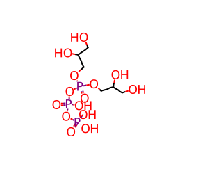 O=P(O)(O)OP(=O)(O)OP(=O)(OCC(O)CO)OCC(O)CO